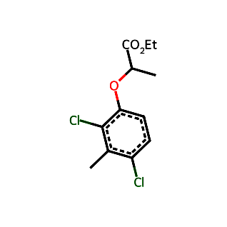 CCOC(=O)C(C)Oc1ccc(Cl)c(C)c1Cl